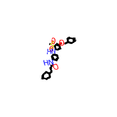 CS(=O)(=O)c1cc(OCc2ccccc2)ccc1Nc1cccc(NC(=O)CCC2CCCCC2)c1